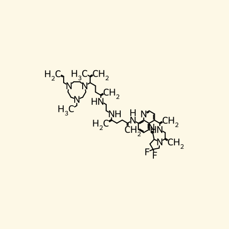 C=CCN1CCN(CC)CCN(C(CCC(=C)NCCNC(=C)CCC(=C)Nc2cccc3c(C(=C)NCC(=C)N4CC(F)(F)CC4C#N)ccnc23)C(=C)C)CC1